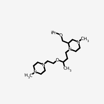 CC(C)OCC1CN(C)CCN1CCC(C)OCCN1CCN(C)CC1